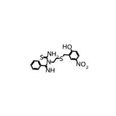 N=C(c1ccccc1)N(CCSCc1cc([N+](=O)[O-])ccc1O)C(N)=S